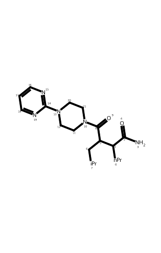 CCCC(C(N)=O)C(CC(C)C)C(=O)N1CCN(c2ncccn2)CC1